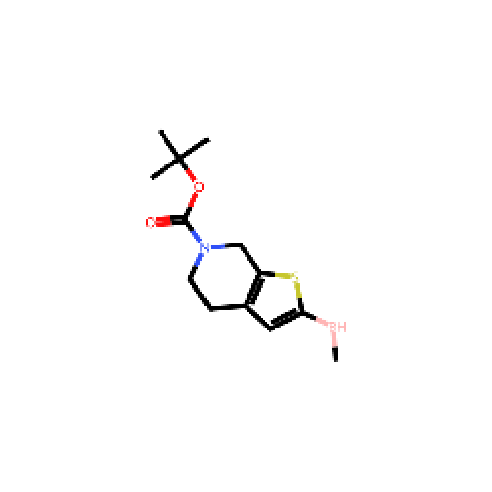 CBc1cc2c(s1)CN(C(=O)OC(C)(C)C)CC2